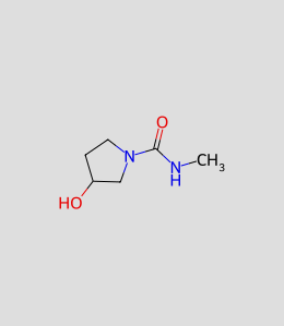 CNC(=O)N1CCC(O)C1